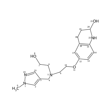 Cn1cc(CN(CCO)CCOc2ccc3c(c2)CCC(O)N3)cn1